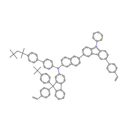 C=Cc1ccc(-c2ccc3c(c2)c2cc(-c4ccc5cc(N(c6ccc(-c7ccc(C(C)(C)CC(C)(C)C)cc7)cc6)c6ccc7c(c6)C(c6ccc(C=C)cc6)(c6ccc(C(C)(C)C)cc6)c6ccccc6-7)ccc5c4)ccc2n3-c2ccccc2)cc1